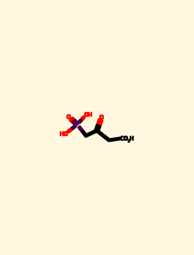 O=C(O)CC(=O)CP(=O)(O)O